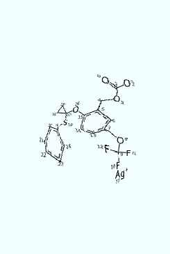 O=C([O-])OCc1cc(OC(F)(F)F)ccc1OC1(Sc2ccccc2)CC1.[Ag+]